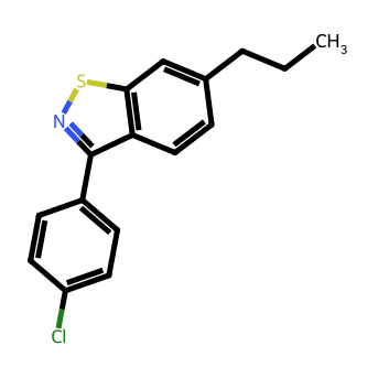 CCCc1ccc2c(-c3ccc(Cl)cc3)nsc2c1